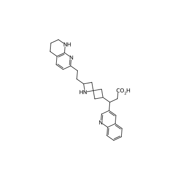 O=C(O)CC(c1cnc2ccccc2c1)C1CC2(CC(CCc3ccc4c(n3)NCCC4)N2)C1